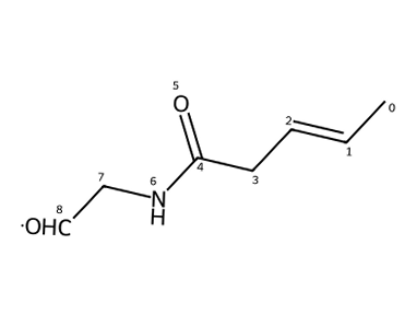 C/C=C/CC(=O)NC[C]=O